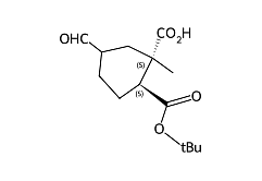 CC(C)(C)OC(=O)[C@H]1CCC(C=O)C[C@]1(C)C(=O)O